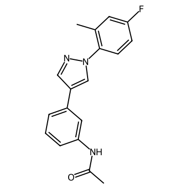 CC(=O)Nc1cccc(-c2cnn(-c3ccc(F)cc3C)c2)c1